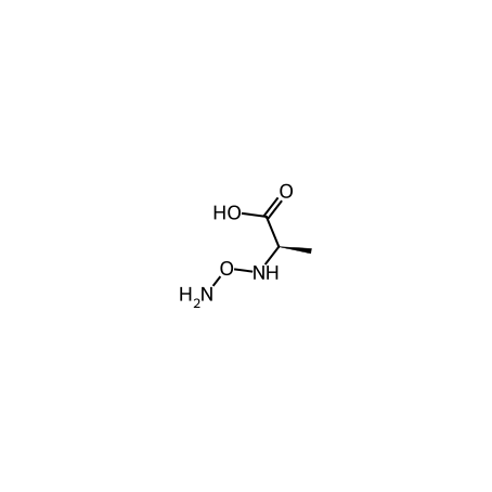 C[C@@H](NON)C(=O)O